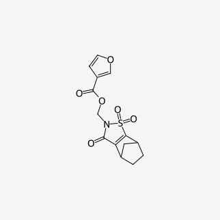 O=C(OCN1C(=O)C2=C(C3CCC2C3)S1(=O)=O)c1ccoc1